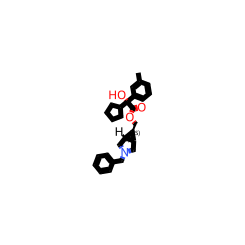 Cc1cccc(C(O)(C(=O)OC[C@H]2C3CN(Cc4ccccc4)C[C@@H]32)C2CCCC2)c1